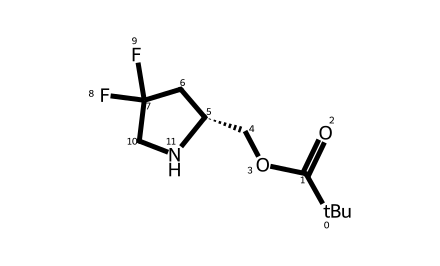 CC(C)(C)C(=O)OC[C@H]1CC(F)(F)CN1